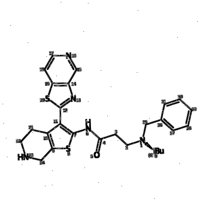 CC[C@H](C)N(CCC(=O)Nc1sc2c(c1-c1nc3cnccc3s1)CCNC2)Cc1ccccc1